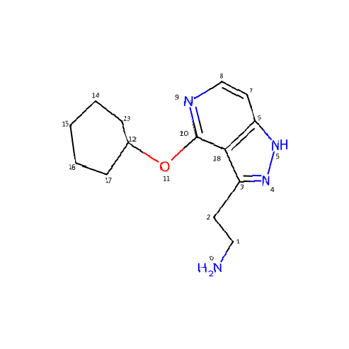 NCCc1n[nH]c2ccnc(OC3CCCCC3)c12